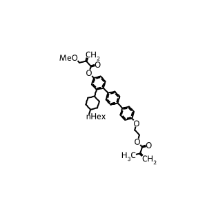 C=C(C)C(=O)OCCOc1ccc(-c2ccc(-c3ccc(OC(=O)C(=C)COC)cc3C3CCC(CCCCCC)CC3)cc2)cc1